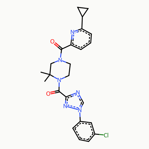 CC1(C)CN(C(=O)c2cccc(C3CC3)n2)CCN1C(=O)c1ncn(-c2cccc(Cl)c2)n1